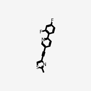 Cc1nc(C#Cc2ccc(-c3ccc(F)cc3F)nc2)cs1